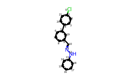 Clc1ccc(-c2cccc(/C=N/Nc3ccccc3)c2)cc1